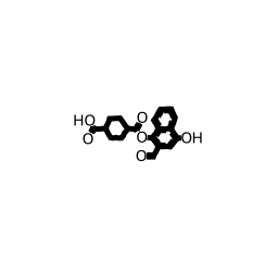 O=Cc1cc(O)c2ccccc2c1OC(=O)C1CCC(C(=O)O)CC1